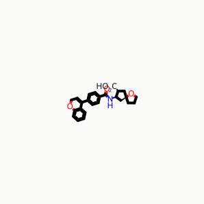 O=C(N[C@@H]1C[C@@]2(CCCO2)C[C@@H]1C(=O)O)c1ccc(C2=CCOc3ccccc32)cc1